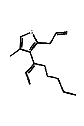 C=CCc1scc(C)c1C(=CC)CCCCC